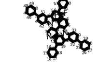 FC(F)(F)c1ccc(-n2c3ccc(-c4ccccc4)cc3c3cc(-c4ccccc4)ccc32)c(-c2ccncc2-n2c3ccc(-c4ccccc4)cc3c3cc(-c4ccccc4)ccc32)c1